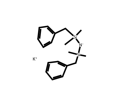 C[Si](C)(Cc1ccccc1)[N-][Si](C)(C)Cc1ccccc1.[K+]